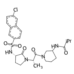 CC(C)C(=O)NC1CCCN(C(=O)[C@H](C)N2CC[C@H](NS(=O)(=O)c3ccc4cc(Cl)ccc4c3)C2=O)C1